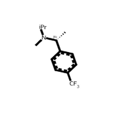 CC(C)N(C)[C@H](C)c1ccc(C(F)(F)F)cc1